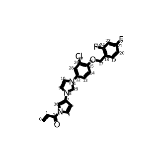 C=CC(=O)n1ccc(N2C=CN(c3ccc(OCc4ccc(F)cc4F)c(Cl)c3)C2)c1